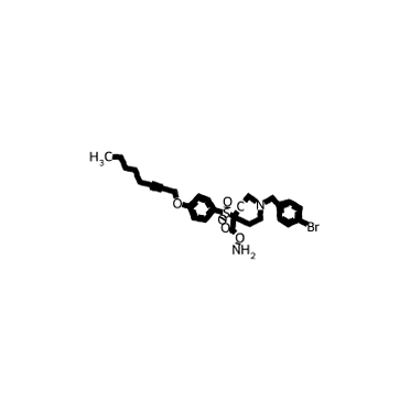 CCCCCC#CCOc1ccc(S(=O)(=O)C2(C(=O)ON)CCN(Cc3ccc(Br)cc3)CC2)cc1